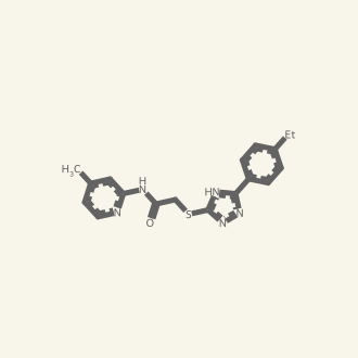 CCc1ccc(-c2nnc(SCC(=O)Nc3cc(C)ccn3)[nH]2)cc1